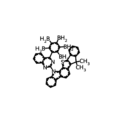 Bc1c(B)c(B)c(-c2nc(-n3c4ccccc4c4ccc5c6c(sc5c43)-c3ccccc3C6(C)C)nc3ccccc23)c(B)c1B